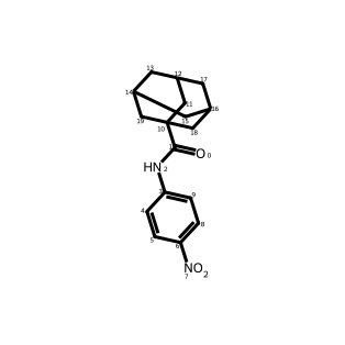 O=C(Nc1ccc([N+](=O)[O-])cc1)C12CC3CC(CC(C3)C1)C2